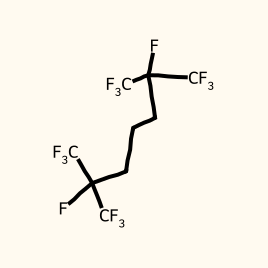 FC(F)(F)C(F)(CCCC(F)(C(F)(F)F)C(F)(F)F)C(F)(F)F